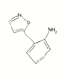 Nc1ccccc1-c1ccno1